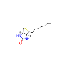 CCCCCCC[C@@H]1SC[C@@H]2NC(=O)N[C@@H]21